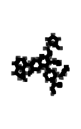 C=CC(=O)N1CCN(c2c(C#N)c(OC[C@@H]3CCCN3C)nc3cc(-c4cccc5c4C4CC4C5)c(F)cc23)C[C@@H]1CC#N